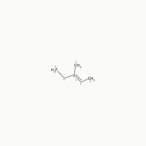 C/C=C(\C)CP